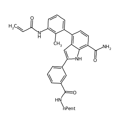 C=CC(=O)Nc1cccc(-c2ccc(C(N)=O)c3[nH]c(-c4cccc(C(=O)NCCCCC)c4)cc23)c1C